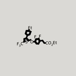 CCOC(=O)CCc1ccc(OCc2sc(C(F)(F)F)cc2-c2ccc(CC)cc2)c(F)c1F